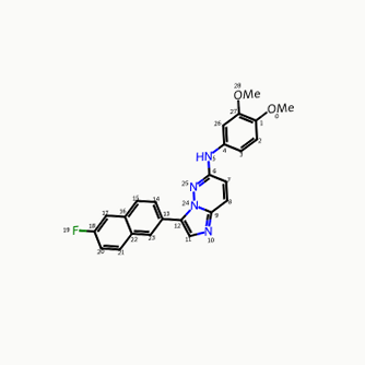 COc1ccc(Nc2ccc3ncc(-c4ccc5cc(F)ccc5c4)n3n2)cc1OC